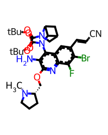 CN1CCC[C@H]1COc1nc2c(F)c(Br)c(/C=C/C#N)cc2c(N(C(=O)OC(C)(C)C)C2C3CC2N(C(=O)OC(C)(C)C)C3)c1N